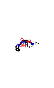 CC(C)N(C)CCOc1ccc(C(=O)NC[C@H](O)CN2CCc3ccccc3C2)cc1